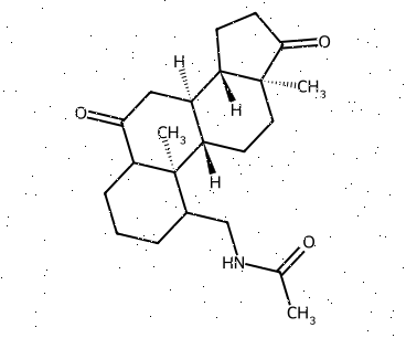 CC(=O)NCC1CCCC2C(=O)C[C@@H]3[C@H](CC[C@]4(C)C(=O)CC[C@@H]34)[C@@]12C